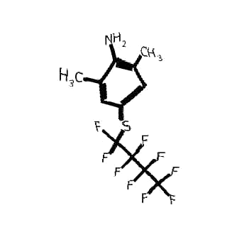 Cc1cc(SC(F)(F)C(F)(F)C(F)(F)C(F)(F)F)cc(C)c1N